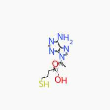 C[C@@H](O[C@H](CO)CCCS)n1cnc2c(N)ncnc21